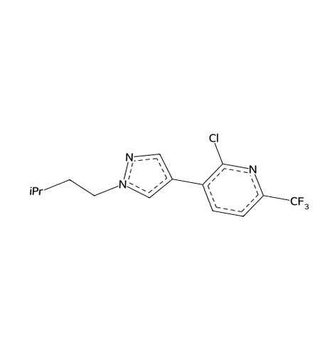 CC(C)CCn1cc(-c2ccc(C(F)(F)F)nc2Cl)cn1